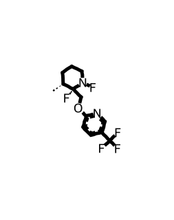 C[C@@H]1CCCN(F)[C@@]1(F)COc1ccc(C(F)(F)F)cn1